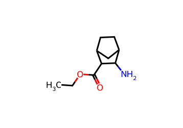 CCOC(=O)C1C2CCC(C2)C1N